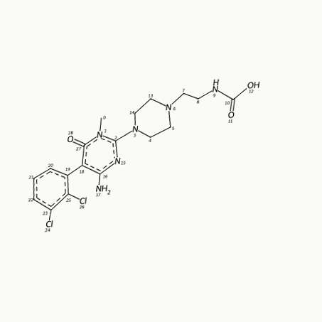 Cn1c(N2CCN(CCNC(=O)O)CC2)nc(N)c(-c2cccc(Cl)c2Cl)c1=O